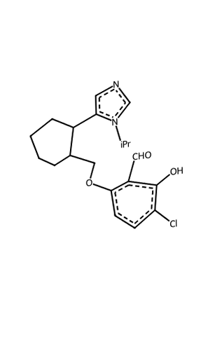 CC(C)n1cncc1C1CCCCC1COc1ccc(Cl)c(O)c1C=O